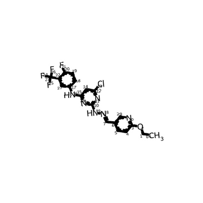 CCOc1ccc(/C=N/Nc2nc(Cl)cc(Nc3ccc(F)c(C(F)(F)F)c3)n2)cn1